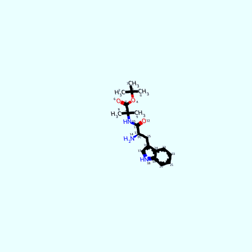 CC(C)(C)OC(=O)C(C)(C)NC(=O)[C@H](N)Cc1c[nH]c2ccccc12